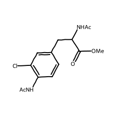 COC(=O)C(Cc1ccc(NC(C)=O)c(Cl)c1)NC(C)=O